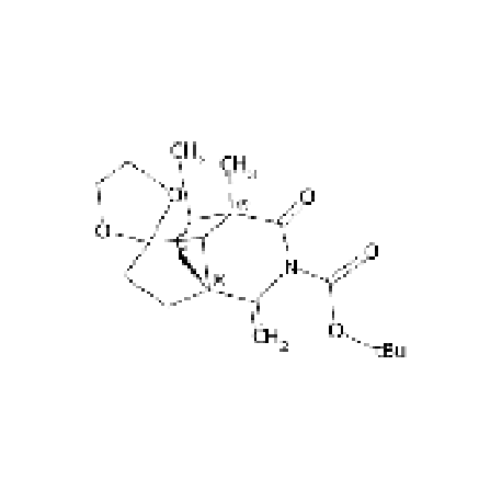 C=C1N(C(=O)OC(C)(C)C)C(=O)[C@]2(C)C(C)CC[C@]13CCC1(OCCO1)C32